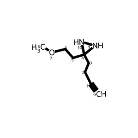 C#CCCC1(CCOC)NN1